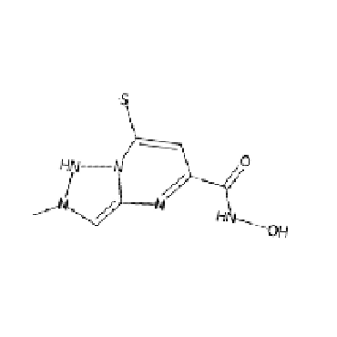 CN1C=C2N=C(C(=O)NO)C=C([S])N2N1